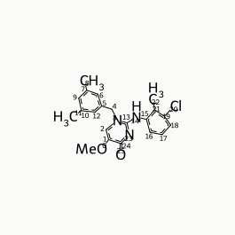 COc1cn(Cc2cc(C)cc(C)c2)c(Nc2cccc(Cl)c2C)nc1=O